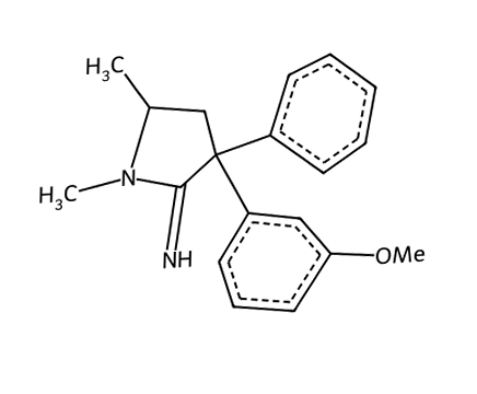 COc1cccc(C2(c3ccccc3)CC(C)N(C)C2=N)c1